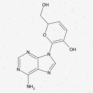 Nc1ncnc2c1ncn2C1=C(O)C=CC(CO)O1